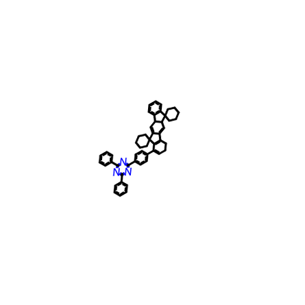 C1=C2C(=CC3c4ccccc4C4(CCCCC4)C13)C1(CCCCC1)C1=C2CCC=C1c1ccc(-c2nc(-c3ccccc3)nc(-c3ccccc3)n2)cc1